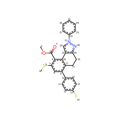 COC(=O)c1c(SC)cc(-c2ccc(F)cc2)c2c1-c1cn(-c3ccccc3)nc1CC2